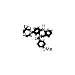 CO[C@H]1CC[C@H](C(=O)N2Cc3cccnc3Nc3ccc(N4CCOCC(C)C4)cc32)CC1